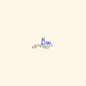 Cl.N.N=S